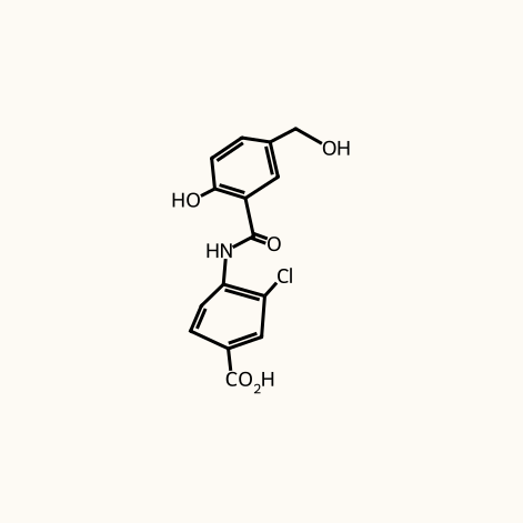 O=C(O)c1ccc(NC(=O)c2cc(CO)ccc2O)c(Cl)c1